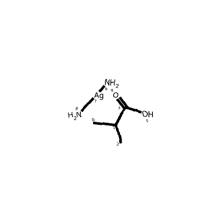 CC(C)C(=O)O.[NH2][Ag][NH2]